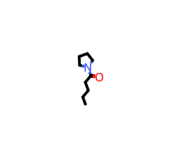 CCCCC(=O)N1CCCC1